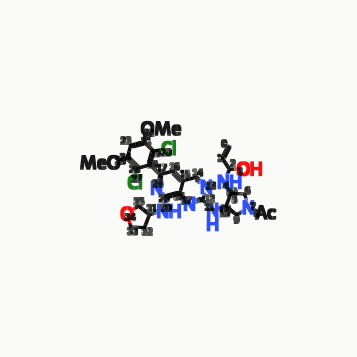 C=CC(O)N[C@H]1CN(C(C)=O)C[C@H]1Nc1ncc2cc(-c3c(Cl)c(OC)cc(OC)c3Cl)nc(NC3CCOC3)c2n1